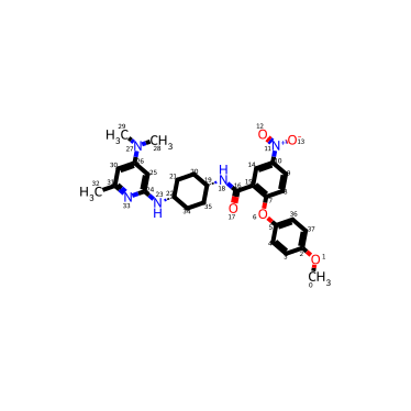 COc1ccc(Oc2ccc([N+](=O)[O-])cc2C(=O)N[C@H]2CC[C@@H](Nc3cc(N(C)C)cc(C)n3)CC2)cc1